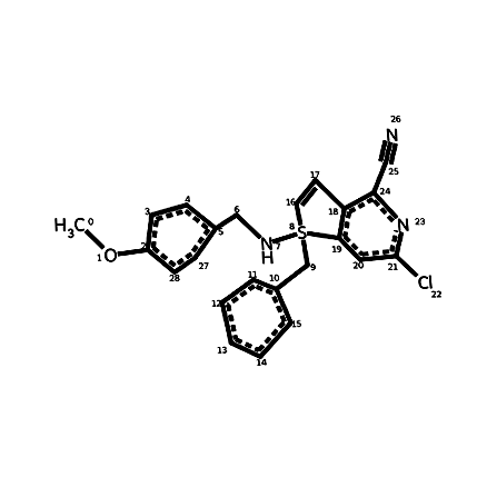 COc1ccc(CNS2(Cc3ccccc3)C=Cc3c2cc(Cl)nc3C#N)cc1